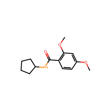 COc1ccc(C(=O)PC2CCCC2)c(OC)c1